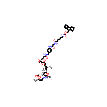 CC(=O)O[C@@H](C)/C=C\C(=O)N[C@@H]1C[C@H](C)[C@H](C/C=C(C)/C=C/[C@H]2O[C@H](CC(=O)NCc3ccc(NC(=O)CNC(=O)CCCCCNC(=O)OCC4c5ccccc5-c5ccccc54)cc3)C[C@@]3(CO3)[C@@H]2O)O[C@@H]1C